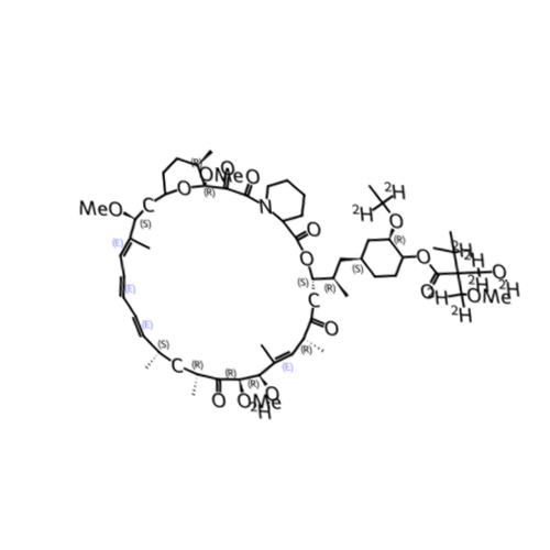 [2H]O[C@@H]1/C(C)=C/[C@@H](C)C(=O)C[C@@H]([C@H](C)C[C@@H]2CCC(OC(=O)C(C([2H])(C)C)(C([2H])([2H])O[2H])C([2H])([2H])OC)[C@H](OC([2H])([2H])C)C2)OC(=O)C2CCCCN2C(=O)C(=O)[C@]2(OC)OC(CC[C@H]2C)C[C@H](OC)/C(C)=C/C=C/C=C/[C@@H](C)C[C@@H](C)C(=O)[C@@H]1OC